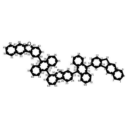 c1ccc2cc3c(cc2c1)Cc1ccc(-c2c4ccccc4c(-c4ccc5c(c4)sc4c(-c6c7ccccc7c(-c7ccc8oc9cc%10ccccc%10cc9c8c7)c7ccccc67)cccc45)c4ccccc24)cc1-3